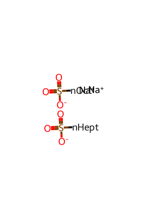 CCCCCCCCS(=O)(=O)[O-].CCCCCCCS(=O)(=O)[O-].[Na+].[Na+]